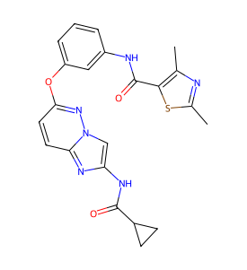 Cc1nc(C)c(C(=O)Nc2cccc(Oc3ccc4nc(NC(=O)C5CC5)cn4n3)c2)s1